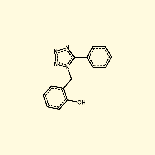 Oc1ccccc1Cn1nnnc1-c1ccccc1